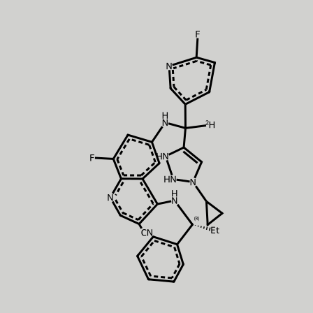 [2H]C(Nc1cc(F)c2ncc(C#N)c(N[C@H](CC)c3ccccc3)c2c1)(C1=CN(C2CC2)NN1)c1ccc(F)nc1